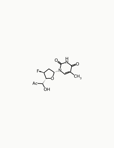 CC(=O)C(O)[C@H]1O[C@@H](n2cc(C)c(=O)[nH]c2=O)C[C@@H]1F